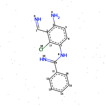 N=Cc1c(N)ccc(NC(=N)c2ccccc2)c1Cl